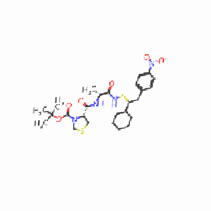 C[C@@H](NC(=O)[C@@H]1CSCN1C(=O)OC(C)(C)C)C(=O)NSC(Cc1ccc([N+](=O)[O-])cc1)C1CCCCC1